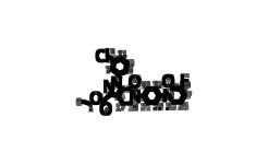 CCOC(=O)c1nn(-c2cccc(Cl)c2)c2c1CCN(c1ccc(-n3cccc(F)c3=O)cc1)C2=O